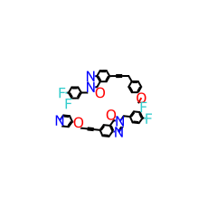 COc1ccc(CC#Cc2ccc3ncn(Cc4ccc(F)c(F)c4)c(=O)c3c2)cc1.O=c1c2cc(C#CCOc3ccncc3)ccc2ncn1Cc1ccc(F)c(F)c1